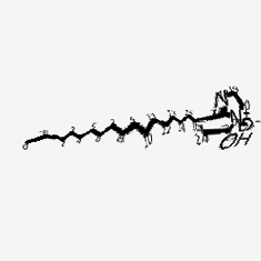 CCCCCCCCCCCCCCCCCC1=NCC[N+]1([O-])C(C)O